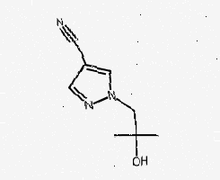 CC(C)(O)Cn1cc(C#N)cn1